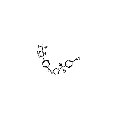 N#Cc1ccc(S(=O)(=O)N2CC[C@@H](Oc3ccc(-c4noc(C(F)(F)F)n4)cc3)C2)cc1